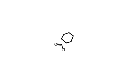 C1CCCCC1.O=CCl